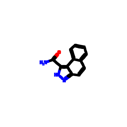 NC(=O)c1[nH]nc2ccc3ccccc3c12